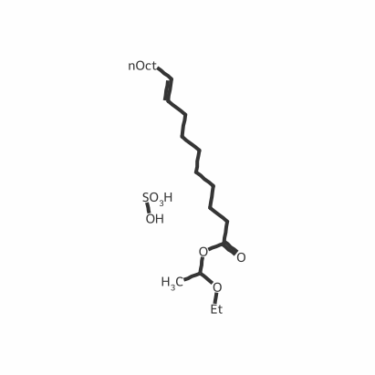 CCCCCCCCC=CCCCCCCCC(=O)OC(C)OCC.O=S(=O)(O)O